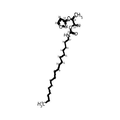 CCCCCCCCCCCCCCCCCCNC(=O)OC([N])C(C)Oc1ccon1